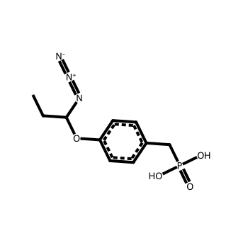 CCC(N=[N+]=[N-])Oc1ccc(CP(=O)(O)O)cc1